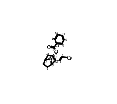 CN1C2CCC1[C@@H](/C=C/Cl)[C@@H](OC(=O)c1ccccc1)C2